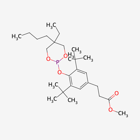 CCCCC1(CC)COP(Oc2c(C(C)(C)C)cc(CCC(=O)OC)cc2C(C)(C)C)OC1